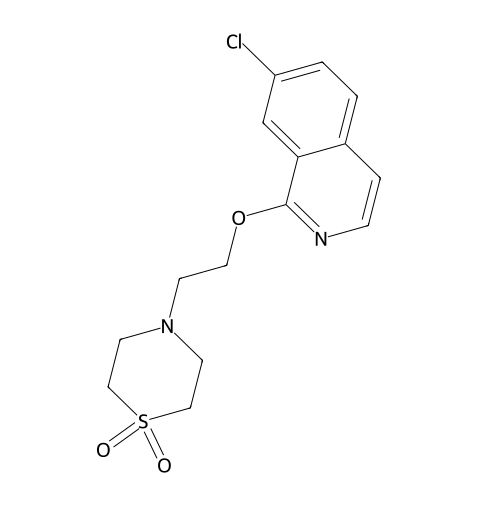 O=S1(=O)CCN(CCOc2nccc3ccc(Cl)cc23)CC1